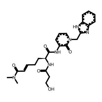 CN(C)C(=O)/C=C/CC[C@H](NC(=O)CCO)C(=O)Nc1cccn(Cc2nc3ccccc3[nH]2)c1=O